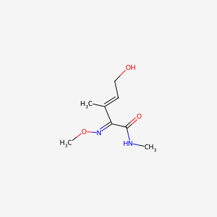 CNC(=O)C(=NOC)C(C)=CCO